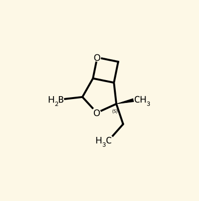 BC1O[C@@](C)(CC)C2COC12